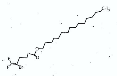 CCCCCCCCCCCCCCCCOC(=O)CCCC(Br)=C(F)F